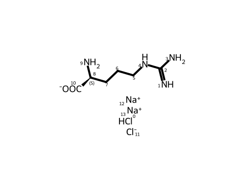 Cl.N=C(N)NCCC[C@H](N)C(=O)[O-].[Cl-].[Na+].[Na+]